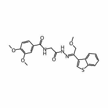 COC/C(=N\NC(=O)CNC(=O)c1ccc(OC)c(OC)c1)c1csc2ccccc12